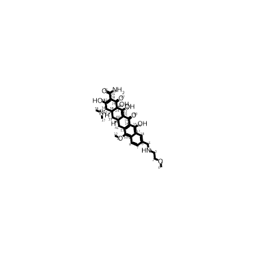 COCCNCc1ccc2c(OC)c3c(c(O)c2c1)C(=O)C1=C(O)[C@]2(O)C(=O)C(C(N)=O)=C(O)[C@@H](N(C)C)[C@@H]2C[C@@H]1C3